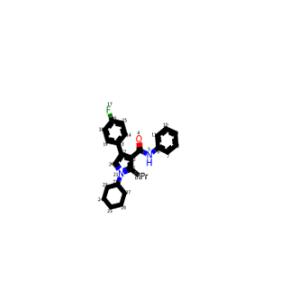 CC(C)c1c(C(=O)Nc2ccccc2)c(-c2ccc(F)cc2)cn1C1CCCCC1